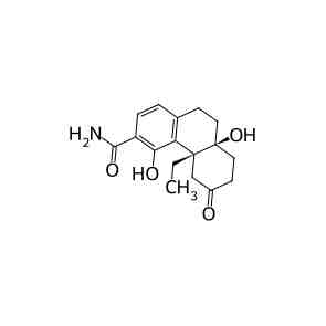 CC[C@]12CC(=O)CC[C@@]1(O)CCc1ccc(C(N)=O)c(O)c12